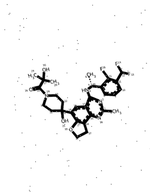 Cc1nc(N[C@H](C)c2cccc(C(F)F)c2F)c2cc(C3(O)CCN(C(=O)C(C)(C)O)CC3)c3c(c2n1)CCO3